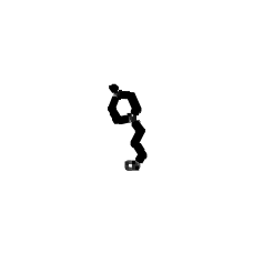 [C-]#[N+]CCCN1CCN(C)CC1